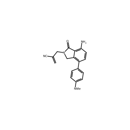 C=C(C#N)CN1Cc2c(-c3ccc(NC)cc3)ccc(N)c2C1=O